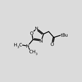 CN(C)c1nc(CC(=O)C(C)(C)C)no1